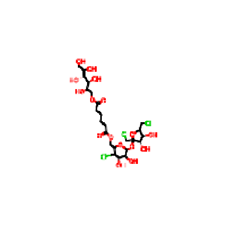 O=C(CCCCC(=O)OC[C@@H](O)[C@@H](O)[C@H](O)C(O)CO)OCC1O[C@@H](OC2(CCl)OC(CCl)[C@@H](O)[C@@H]2O)C(O)[C@@H](O)C1Cl